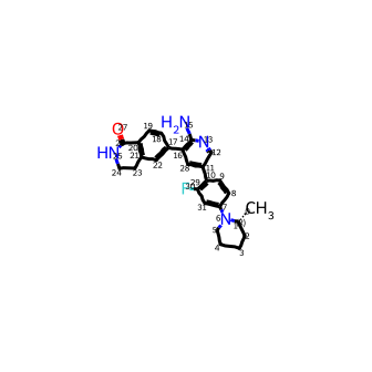 C[C@@H]1CCCCN1c1ccc(-c2cnc(N)c(-c3ccc4c(c3)CCNC4=O)c2)c(F)c1